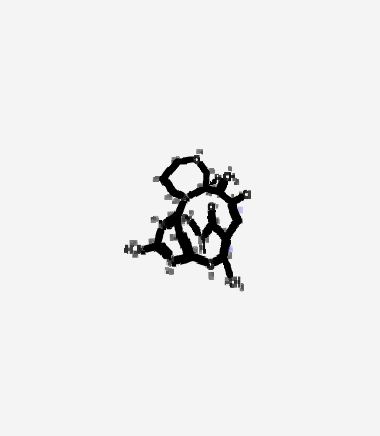 C=C1/C(Cl)=C\C(C(=O)NC(C)C)=C(/C)Oc2cc(nc(N)n2)N2CCCOC[C@@H]12